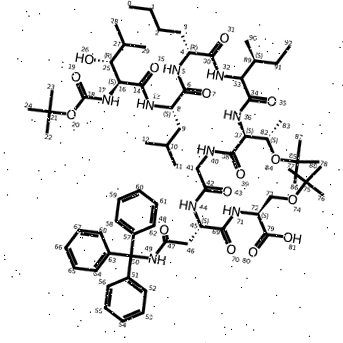 CCCC[C@@H](NC(=O)[C@H](CC(C)C)NC(=O)[C@@H](NC(=O)OC(C)(C)C)[C@H](O)C(C)C)C(=O)NC(C(=O)N[C@H](C(=O)NCC(=O)N[C@@H](CC(=O)NC(c1ccccc1)(c1ccccc1)c1ccccc1)C(=O)N[C@@H](COC(C)(C)C)C(=O)O)[C@H](C)OC(C)(C)C)[C@@H](C)CC